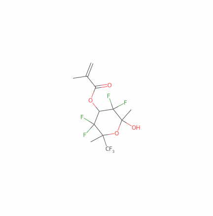 C=C(C)C(=O)OC1C(F)(F)C(C)(O)OC(C)(C(F)(F)F)C1(F)F